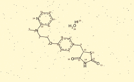 CN(CCOc1ccc(CC2SC(=O)NC2=O)cc1)c1ccccn1.I.O